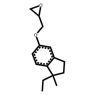 CCC1(C)CCc2cc(OCC3CO3)ccc21